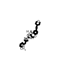 Cc1cccc(Cc2cnn(C(=O)NC3COc4ccc(C#CC5CCOCC5)cc4N(C)C3=O)c2)n1